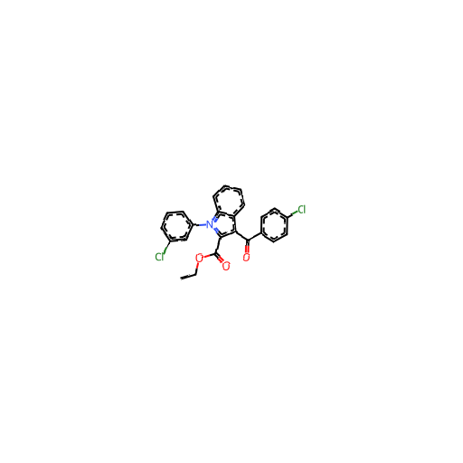 CCOC(=O)c1c(C(=O)c2ccc(Cl)cc2)c2ccccc2n1-c1cccc(Cl)c1